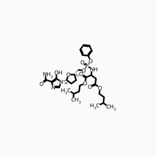 CC(C)CCOC(=O)CC(NP(=O)(OC[C@@H]1CC[C@H](n2cnc(C(N)=O)c2O)O1)Oc1ccccc1)C(=O)OCCC(C)C